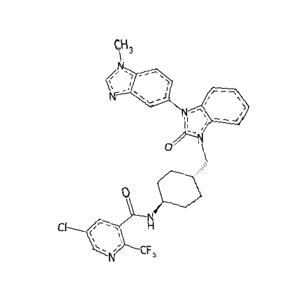 Cn1cnc2cc(-n3c(=O)n(C[C@H]4CC[C@H](NC(=O)c5cc(Cl)cnc5C(F)(F)F)CC4)c4ccccc43)ccc21